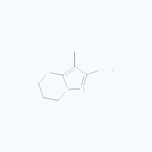 Cc1c(C(=O)O)nn2c1OCCC2